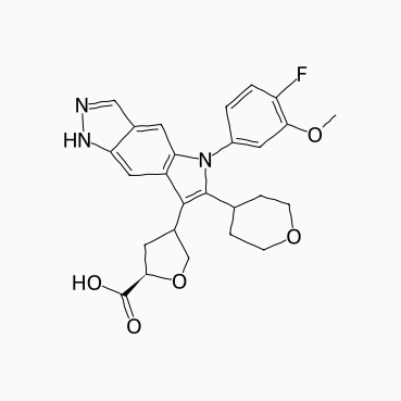 COc1cc(-n2c(C3CCOCC3)c(C3CO[C@@H](C(=O)O)C3)c3cc4[nH]ncc4cc32)ccc1F